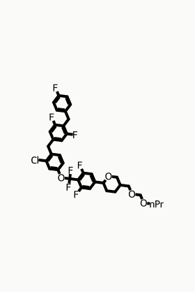 CCCOCOCC1CCC(c2cc(F)c(C(F)(F)Oc3ccc(Cc4cc(F)c(Cc5ccc(F)cc5)c(F)c4)c(Cl)c3)c(F)c2)OC1